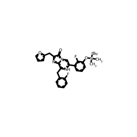 CC(C)(C)[Si](C)(C)Oc1cccc(-c2cn3c(=O)c(Cc4ccco4)nc-3c(Cc3ccccc3F)[nH]2)c1F